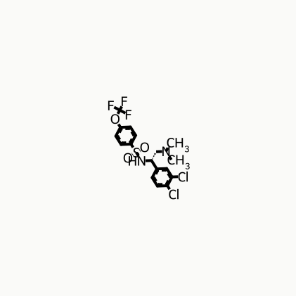 CN(C)C[C@@H](NS(=O)(=O)c1ccc(OC(F)(F)F)cc1)c1ccc(Cl)c(Cl)c1